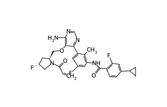 C=CC(=O)N1C[C@H](F)C[C@H]1COc1c(N)ncnc1-c1cc(F)cc(NC(=O)c2ccc(C3CC3)cc2F)c1C